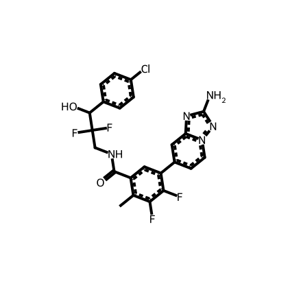 Cc1c(C(=O)NCC(F)(F)C(O)c2ccc(Cl)cc2)cc(-c2ccn3nc(N)nc3c2)c(F)c1F